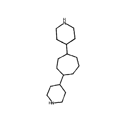 C1CC(C2CCNCC2)CCC(C2CCNCC2)C1